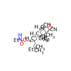 CCNC(=O)OCCC[C@@](C)(CCC(C)(C)CC)CCC(C)(C)[C@]1(C)CC[C@H]2C(C)(C)C(=O)C(C#N)=C[C@]2(C)/C1=C/C(C)=O